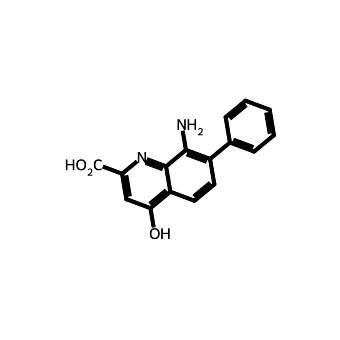 Nc1c(-c2ccccc2)ccc2c(O)cc(C(=O)O)nc12